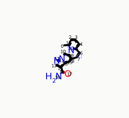 Cc1cccc(/C=C\c2ccn3ncc(C(N)=O)c3c2)n1